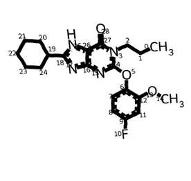 CCCn1c(Oc2ccc(F)cc2OC)nc2nc(C3CCCCC3)[nH]c2c1=O